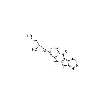 CC1(C)c2cc(OCC(O)CCO)ccc2C(=O)c2c1oc1ncccc21